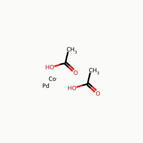 CC(=O)O.CC(=O)O.[Co].[Pd]